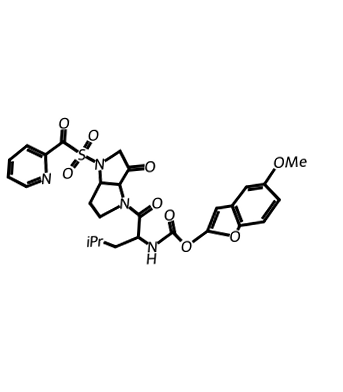 COc1ccc2oc(OC(=O)NC(CC(C)C)C(=O)N3CCC4C3C(=O)CN4S(=O)(=O)C(=O)c3ccccn3)cc2c1